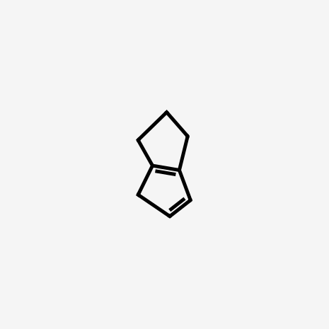 C1=CC2=C(C1)CCC2